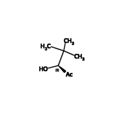 CC(=O)[C@@H](O)C(C)(C)C